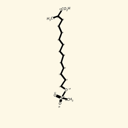 CC(CCCCCCCCCCCCOS(C)(=O)=O)C(=O)O